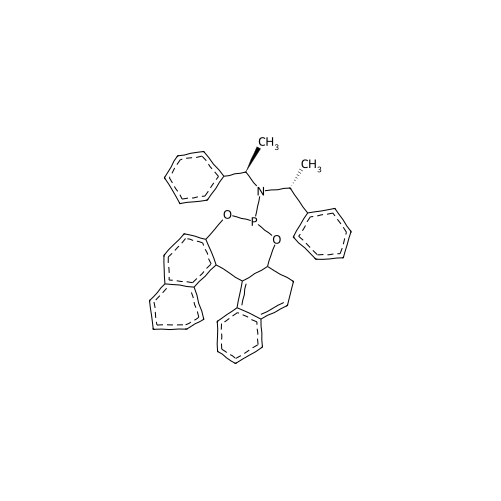 C[C@H](c1ccccc1)N([C@H](C)c1ccccc1)P1Oc2ccc3ccccc3c2C2=c3ccccc3=CCC2O1